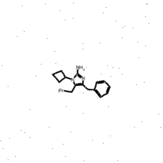 CC(C)Cc1c(Cc2ccccc2)nc(N)n1C1CCC1